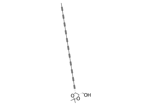 CC#CC#CC#CC#CC#CC#CC#CC#CC#CC#CC#C[C@H]1OC(C)(C)O[C@H]1CO